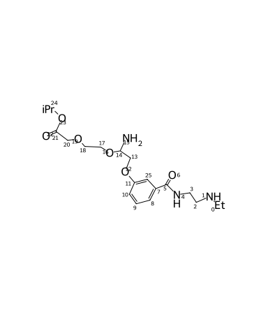 CCNCCNC(=O)c1cccc(OCC(N)OCCOCC(=O)OC(C)C)c1